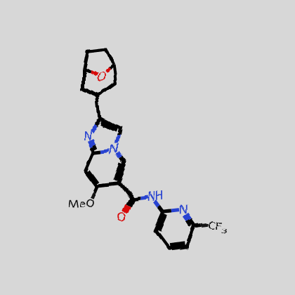 COc1cc2nc(C3CC4CCC(C3)O4)cn2cc1C(=O)Nc1cccc(C(F)(F)F)n1